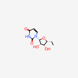 CC[C@H]1O[C@@H](n2ccc(=O)[nH]c2=O)[C@@H](O)[C@H]1O